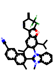 C=C(/C=C\c1c(C)oc2c(C(C)C)c(-n3c(-c4cc5cc(C#N)ccc5cc4C)[n+](C)c4ccccc43)c(C(C)C)cc12)C(F)(F)F